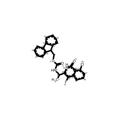 CC(NC(=O)OCC1c2ccccc2-c2ccccc21)c1[nH]c(=O)c2c(Cl)cccc2c1F